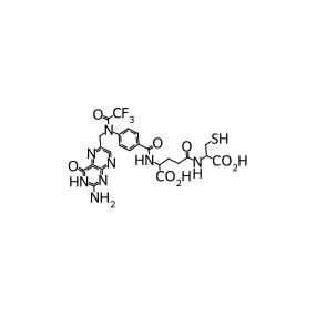 Nc1nc2ncc(CN(C(=O)C(F)(F)F)c3ccc(C(=O)NC(CCC(=O)NC(CS)C(=O)O)C(=O)O)cc3)nc2c(=O)[nH]1